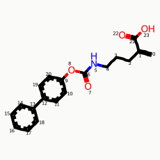 C=C(CCCNC(=O)Oc1ccc(-c2ccccc2)cc1)C(=O)O